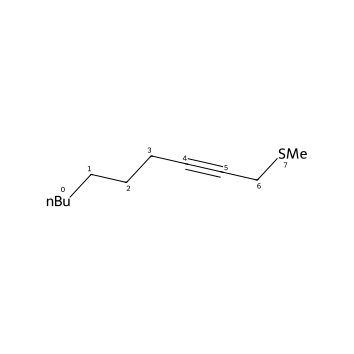 [CH2]CCCCCCC#CCSC